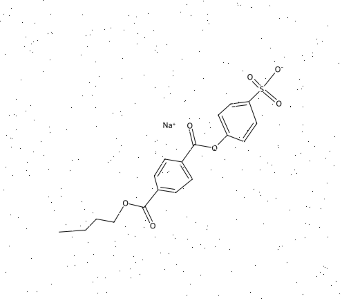 CCCCOC(=O)c1ccc(C(=O)Oc2ccc(S(=O)(=O)[O-])cc2)cc1.[Na+]